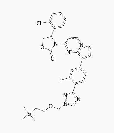 C[Si](C)(C)CCOCn1cnc(-c2ccc(-c3cnn4ccc(N5C(=O)OCC5c5ccccc5Cl)nc34)cc2F)n1